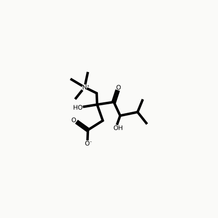 CC(C)C(O)C(=O)C(O)(CC(=O)[O-])C[N+](C)(C)C